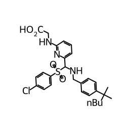 CCCCC(C)(C)c1ccc(CNC(c2cccc(NCC(=O)O)n2)S(=O)(=O)c2ccc(Cl)cc2)cc1